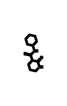 O=C1NCCCC1C(=O)NC1CCCCC1